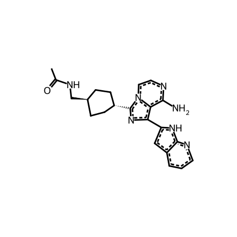 CC(=O)NC[C@H]1CC[C@H](c2nc(-c3cc4cccnc4[nH]3)c3c(N)nccn32)CC1